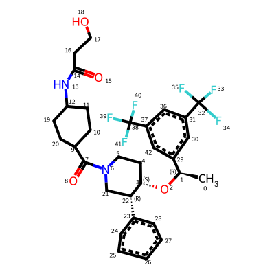 C[C@@H](O[C@H]1CCN(C(=O)C2CCC(NC(=O)CCO)CC2)C[C@H]1c1ccccc1)c1cc(C(F)(F)F)cc(C(F)(F)F)c1